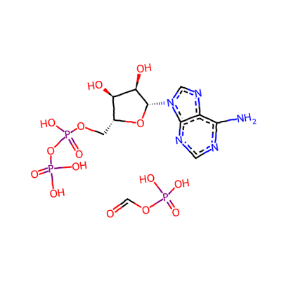 Nc1ncnc2c1ncn2[C@@H]1O[C@H](COP(=O)(O)OP(=O)(O)O)[C@@H](O)[C@H]1O.O=COP(=O)(O)O